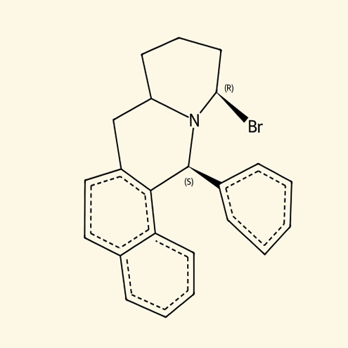 Br[C@@H]1CCCC2Cc3ccc4ccccc4c3[C@H](c3ccccc3)N21